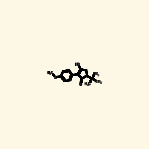 COc1ccc(C2=C(O)CC(C(C)(C)C)C2=O)cc1